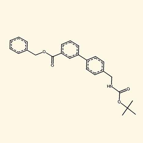 CC(C)(C)OC(=O)NCc1ccc(-c2cccc(C(=O)OCc3ccccc3)c2)cc1